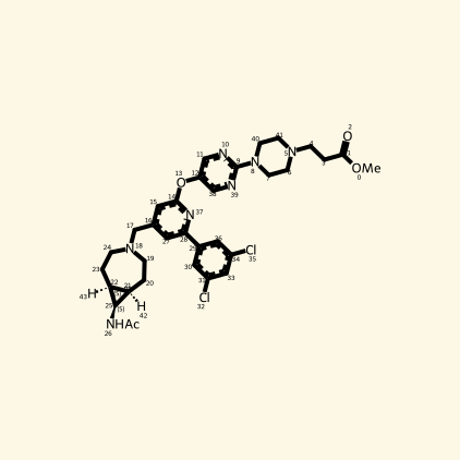 COC(=O)CCN1CCN(c2ncc(Oc3cc(CN4CC[C@@H]5[C@H](CC4)[C@@H]5NC(C)=O)cc(-c4cc(Cl)cc(Cl)c4)n3)cn2)CC1